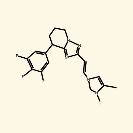 CC1=CN(C=Cc2nc3n(n2)CCCC3c2cc(F)c(F)c(F)c2)CN1F